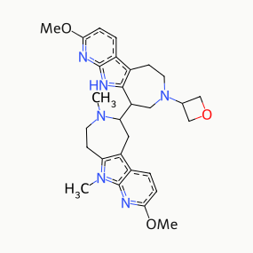 COc1ccc2c3c([nH]c2n1)C(C1Cc2c(n(C)c4nc(OC)ccc24)CCN1C)CN(C1COC1)CC3